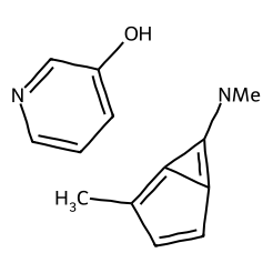 CNc1c2ccc(C)c1-2.Oc1cccnc1